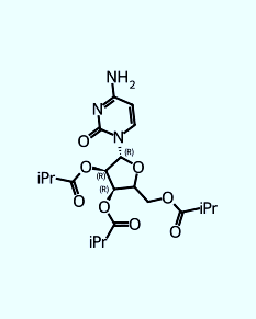 CC(C)C(=O)OCC1O[C@@H](n2ccc(N)nc2=O)[C@H](OC(=O)C(C)C)[C@@H]1OC(=O)C(C)C